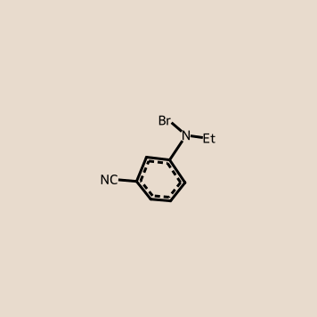 CCN(Br)c1cccc(C#N)c1